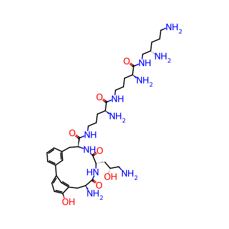 NCCC[C@H](N)CNC(=O)[C@@H](N)CCCNC(=O)[C@@H](N)CCCNC(=O)[C@@H]1Cc2cccc(c2)-c2ccc(O)c(c2)C[C@H](N)C(=O)N[C@@H](C[C@@H](O)CN)C(=O)N1